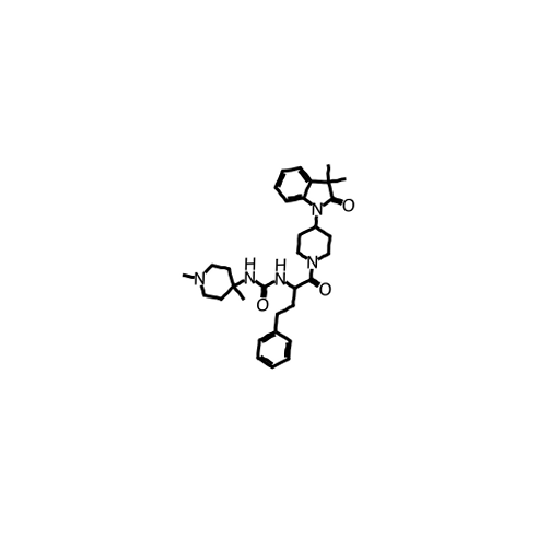 CN1CCC(C)(NC(=O)NC(CCc2ccccc2)C(=O)N2CCC(N3C(=O)C(C)(C)c4ccccc43)CC2)CC1